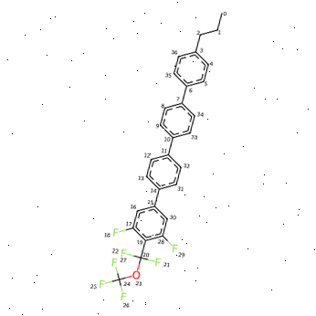 CCCc1ccc(-c2ccc(-c3ccc(-c4cc(F)c(C(F)(F)OC(F)(F)F)c(F)c4)cc3)cc2)cc1